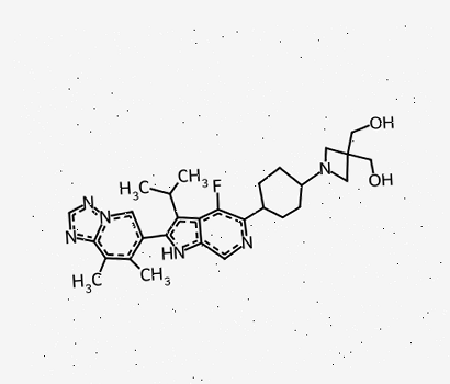 Cc1c(-c2[nH]c3cnc(C4CCC(N5CC(CO)(CO)C5)CC4)c(F)c3c2C(C)C)cn2ncnc2c1C